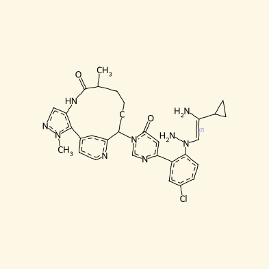 CC1CCCC(n2cnc(-c3cc(Cl)ccc3N(N)/C=C(\N)C3CC3)cc2=O)c2cc(ccn2)-c2c(cnn2C)NC1=O